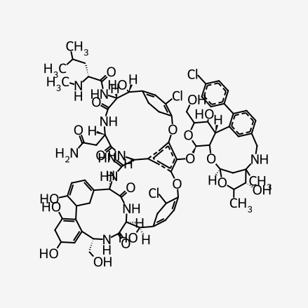 CN[C@H](CC(C)C)C(=O)N[C@H]1C(=O)N[C@@H](CC(N)=O)C(=O)N[C@H]2C(=N)N[C@H]3C(=O)N[C@H](C(=O)N[C@H](CO)C4=CC(O)CC(O)=C4C4CC3=CC=C4O)[C@H](O)C3=CC=C(Oc4cc2cc(c4O[C@H]2OC(CO)C(O)[C@@H]4c5cc(ccc5-c5ccc(Cl)cc5)CNC5(C)C[C@H](OC24)OC(C)[C@H]5O)OC2=C(Cl)C=C(CC2)[C@H]1O)C(Cl)C3